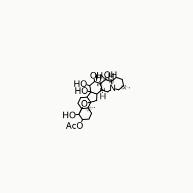 CC(=O)OC1CC[C@@]2(C)C3CCC4C5(O)C(O)C(O)[C@H]6[C@@H](CN7C[C@@H](C)CC[C@H]7[C@@]6(C)O)C5CC42OC13O